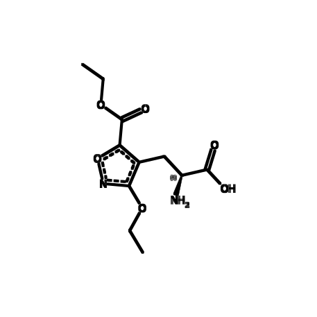 CCOC(=O)c1onc(OCC)c1C[C@H](N)C(=O)O